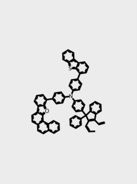 C=CC1=C(/C=C\C)C(c2ccccc2)(c2ccc(N(c3ccc(-c4cccc5c4oc4c5ccc5ccc6ccccc6c54)cc3)c3ccc(-c4cccc5c4sc4ccccc45)cc3)cc2)c2ccccc21